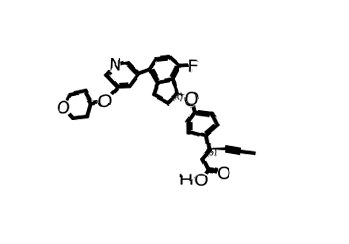 CC#C[C@@H](CC(=O)O)c1ccc(O[C@@H]2CCc3c(-c4cncc(OC5CCOCC5)c4)ccc(F)c32)cc1